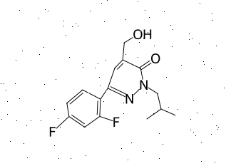 CC(C)Cn1nc(-c2ccc(F)cc2F)cc(CO)c1=O